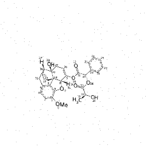 COc1ccc2c3c1O[C@H]1C(OC(=O)[C@@H](OC(=O)[C@H](C)O)c4ccccc4)=CC[C@@]4(O)[C@H](CCC[C@]314)C2